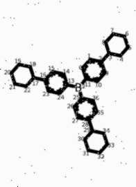 c1cc(C2CCCCC2)ccc1B(c1ccc(C2CCCCC2)cc1)c1ccc(C2CCCCC2)cc1